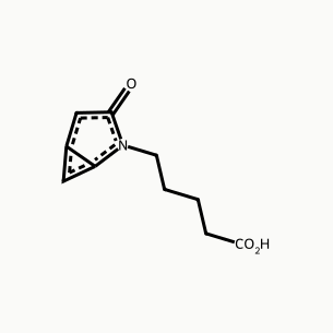 O=C(O)CCCCn1c2cc-2cc1=O